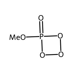 COP1(=O)OOO1